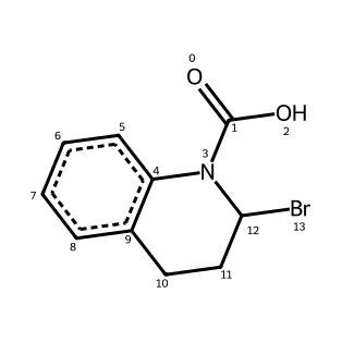 O=C(O)N1c2ccccc2CCC1Br